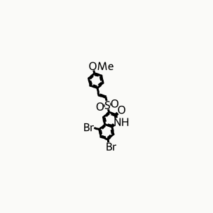 COc1ccc(C=CS(=O)(=O)c2cc3c(Br)cc(Br)cc3[nH]c2=O)cc1